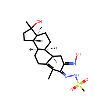 CC1=C2CC[C@@H]3[C@@H](CC[C@@]4(C)[C@H]3CCC4(C)O)[C@@]2(C)CC(=NO)C1=NNS(C)(=O)=O